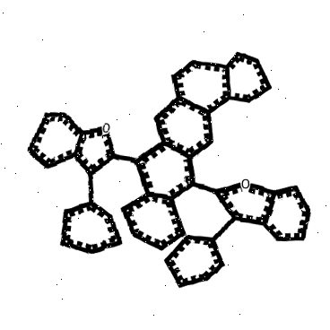 c1ccc(-c2c(-c3c4ccccc4c(-c4oc5ccccc5c4-c4ccccc4)c4cc5c(ccc6ccccc65)cc34)oc3ccccc23)cc1